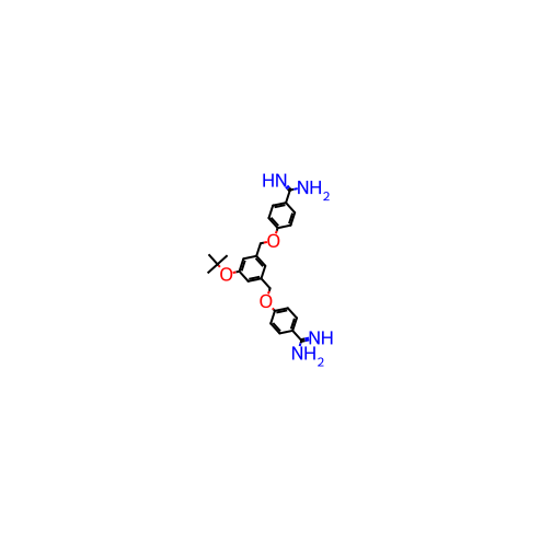 CC(C)(C)Oc1cc(COc2ccc(C(=N)N)cc2)cc(COc2ccc(C(=N)N)cc2)c1